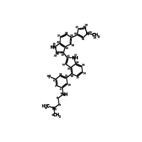 CN(C)CCNc1cc(F)cc(-c2cccc3[nH]c(-c4n[nH]c5ccc(-c6cnn(C)c6)cc45)cc23)c1